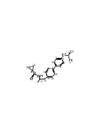 CCC(CC)Oc1ccc(-c2ccc(CC(C)NC(=O)C3CC3)cc2)cc1